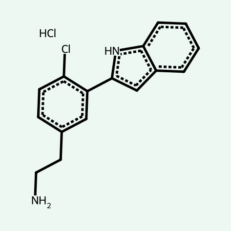 Cl.NCCc1ccc(Cl)c(-c2cc3ccccc3[nH]2)c1